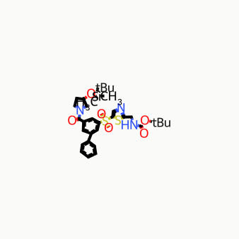 CC(C)(C)OC(=O)NCc1ncc(S(=O)(=O)c2cc(C(=O)N3CCC(O[Si](C)(C)C(C)(C)C)C3)cc(-c3ccccc3)c2)s1